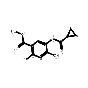 COC(=O)c1cc(NC(=O)C2CC2)c(O)cc1Cl